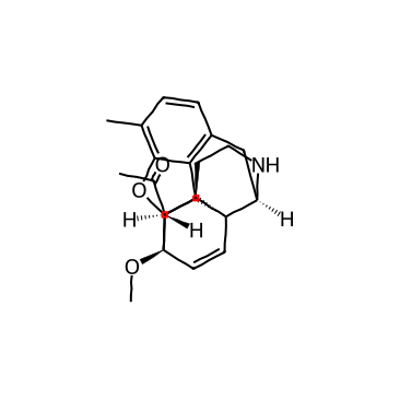 CO[C@]12C=C[C@@]3(C[C@@H]1C(C)=O)[C@H]1Cc4ccc(C)c5c4[C@@]3(CCN1)[C@H]2O5